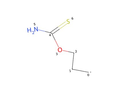 [CH2]CCOC(N)=S